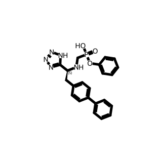 O=P(O)(CN[C@@H](Cc1ccc(-c2ccccc2)cc1)c1nnn[nH]1)Oc1ccccc1